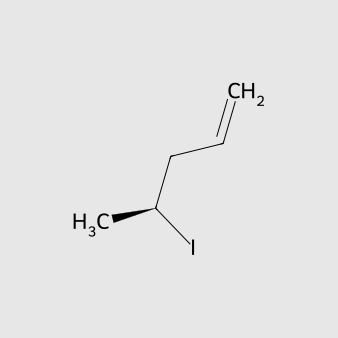 C=CC[C@H](C)I